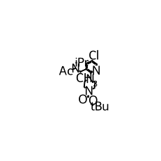 CC(=O)N(C(C)C)C(C)c1cc(Cl)cnc1N1CCN(C(=O)OC(C)(C)C)CC1